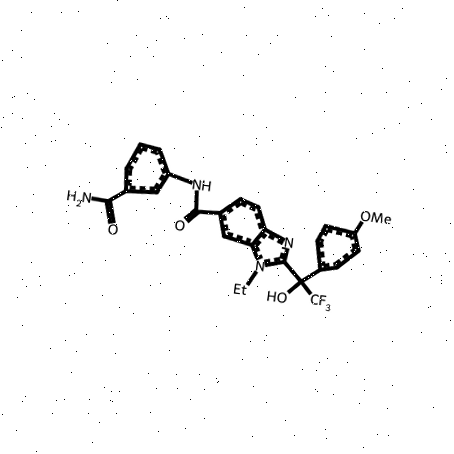 CCn1c(C(O)(c2ccc(OC)cc2)C(F)(F)F)nc2ccc(C(=O)Nc3cccc(C(N)=O)c3)cc21